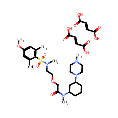 COc1cc(C)c(S(=O)(=O)N(C)CCOCC(=O)N(C)[C@@H]2CCC[C@H](N3CCN(C)CC3)C2)c(C)c1.O=C(O)/C=C/C(=O)O.O=C(O)/C=C/C(=O)O